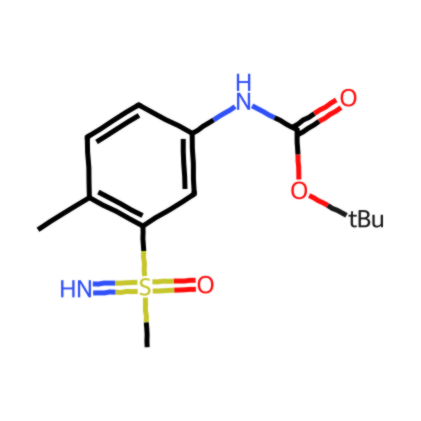 Cc1ccc(NC(=O)OC(C)(C)C)cc1S(C)(=N)=O